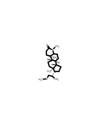 CSCC(C)[C@H]1CC[C@H]2[C@@H]3CCC4N(C)C(=O)CC[C@]4(C)[C@H]3CC[C@]12C